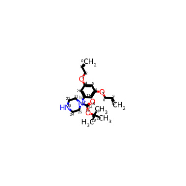 C=CCOc1cc(OCC=C)cc([N+]2(C(=O)OC(C)(C)C)CCNCC2)c1